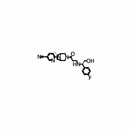 C[C@H]1CC2CN(C(=O)CCN[C@@H](CO)c3ccc(F)cc3)CC1N2c1ccc(C#N)cn1